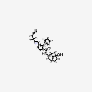 CC(C)(/C=C/n1ncc(C(=O)N[C@@H]2CCC3CC4C2C[C@]4(O)C3)c1-n1cccn1)CC#N